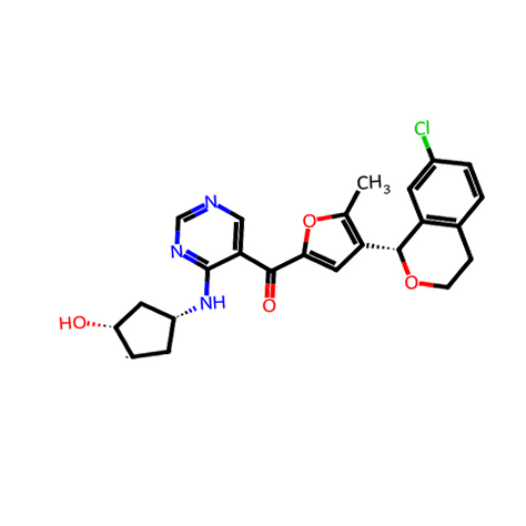 Cc1oc(C(=O)c2cncnc2N[C@@H]2C[CH][C@H](O)C2)cc1[C@H]1OCCc2ccc(Cl)cc21